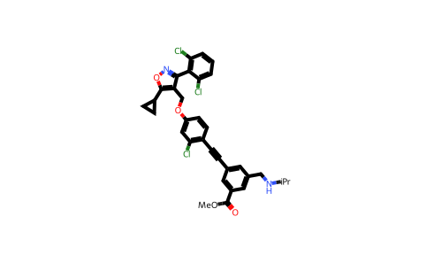 COC(=O)c1cc(C#Cc2ccc(OCc3c(-c4c(Cl)cccc4Cl)noc3C3CC3)cc2Cl)cc(CNC(C)C)c1